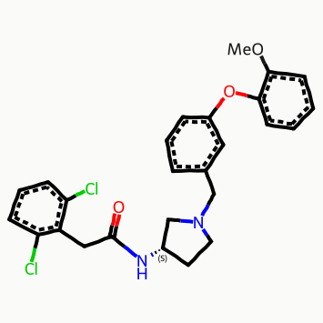 COc1ccccc1Oc1cccc(CN2CC[C@H](NC(=O)Cc3c(Cl)cccc3Cl)C2)c1